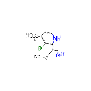 N#CC1CC1/C(C=N)=C1/NC=CC(C(=O)O)=C1Br